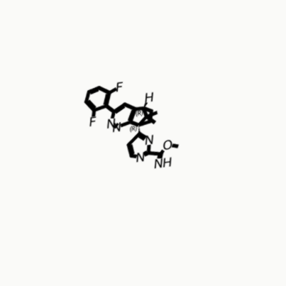 COC(=N)c1nccc([C@]23CC[C@@H](c4cc(-c5c(F)cccc5F)nnc42)C3(C)C)n1